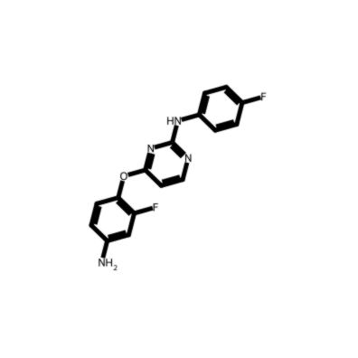 Nc1ccc(Oc2ccnc(Nc3ccc(F)cc3)n2)c(F)c1